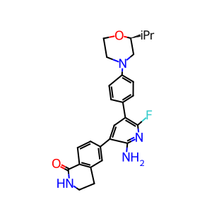 CC(C)[C@H]1CN(c2ccc(-c3cc(-c4ccc5c(c4)CCNC5=O)c(N)nc3F)cc2)CCO1